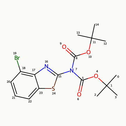 CC(C)(C)OC(=O)N(C(=O)OC(C)(C)C)c1nc2c(Br)cccc2s1